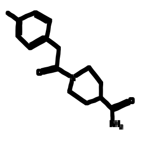 Cc1ccc(CC(=O)N2CCC(C(N)=O)CC2)cc1